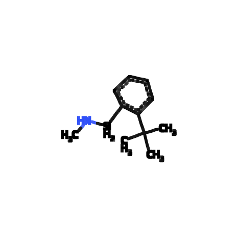 CN[SiH2]c1ccccc1C(C)(C)C